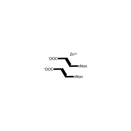 CCCCCCCCCC=CC(=O)[O-].CCCCCCCCCC=CC(=O)[O-].[Zn+2]